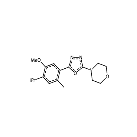 COc1cc(-c2nnc(N3CCOCC3)o2)c(C)cc1C(C)C